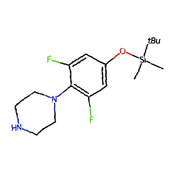 CC(C)(C)[Si](C)(C)Oc1cc(F)c(N2CCNCC2)c(F)c1